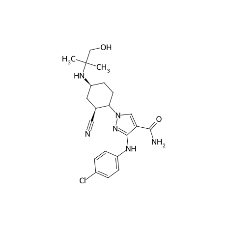 CC(C)(CO)N[C@H]1CCC(n2cc(C(N)=O)c(Nc3ccc(Cl)cc3)n2)[C@@H](C#N)C1